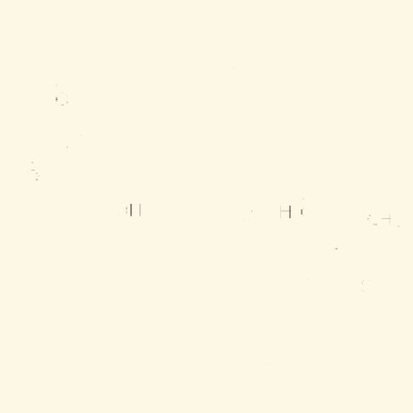 CC(C)(C)c1ccccc1OCc1ccccc1C(O)C(=O)O